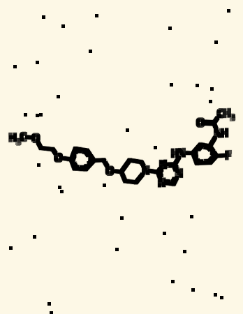 COCCOc1ccc(COC2CCN(c3ncnc(Nc4ccc(F)c(NC(C)=O)c4)n3)CC2)cc1